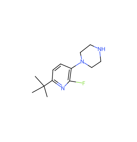 CC(C)(C)c1ccc(N2CCNCC2)c(F)n1